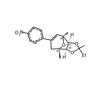 CCC1(C)O[C@@H]2[C@H](O1)[C@@]1(C)C=C(c3ccc([N+](=O)[O-])cn3)C[C@]2(C)O1